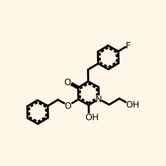 O=c1c(Cc2ccc(F)cc2)cn(CCO)c(O)c1OCc1ccccc1